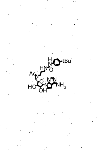 CC(=O)N(CCCNC(=O)Nc1ccc(C(C)(C)C)cc1)C[C@H]1O[C@@H](n2ccc3c(N)ncnc32)[C@H](O)[C@@H]1O